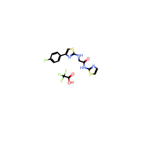 O=C(CNc1nc(-c2ccc(F)cc2)cs1)Nc1nccs1.O=C(O)C(F)(F)F